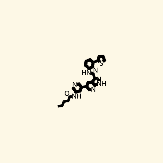 CCCCC(=O)Nc1cncc(-c2cnc3[nH]nc(-c4nc5c(-c6cccs6)cccc5[nH]4)c3c2)c1